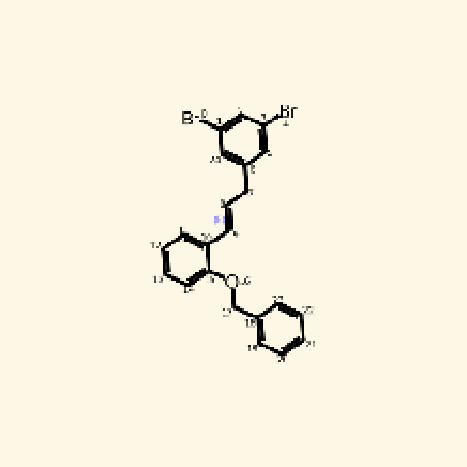 Brc1cc(Br)cc(C/C=C/c2ccccc2OCc2ccccc2)c1